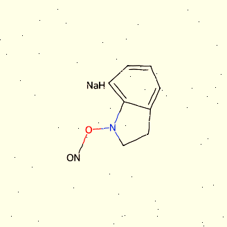 O=NON1CCc2ccccc21.[NaH]